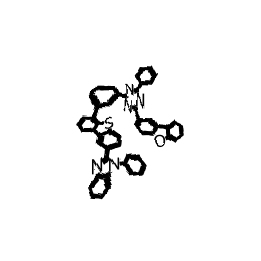 c1ccc(-c2nc(-c3cccc(-c4cccc5c4sc4ccc(-c6nc7ccccc7n6-c6ccccc6)cc45)c3)nc(-c3ccc4oc5ccccc5c4c3)n2)cc1